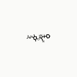 Cc1cc(Oc2snc(C(C)(C)c3ccccc3)c2C#N)c(C)cc1N=CN(C)C